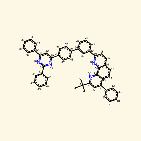 CC(C)(C)c1cc(-c2ccccc2)c2ccc3ccc(-c4cccc(-c5ccc(-c6cc(-c7ccccc7)nc(-c7ccccc7)n6)cc5)c4)nc3c2n1